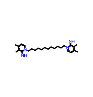 Cc1ccn(CCCCCCCCCCCCn2ccc(C)c(C)c2=N)c(=N)c1C